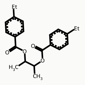 CCc1ccc(C(=O)OC(C)C(C)OC(=O)c2ccc(CC)cc2)cc1